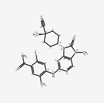 Cc1cc(C(N)=O)c(F)cc1Nc1ncc2c(n1)n([C@H]1CC[C@@](C)(C#N)CC1)c(=O)n2C